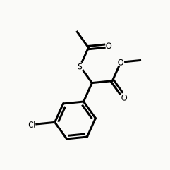 COC(=O)C(SC(C)=O)c1cccc(Cl)c1